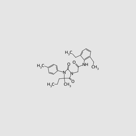 CCCC1(C)C(=O)N(CC(=O)Nc2c(CC)cccc2CC)C(=O)N1c1ccc(C)cc1